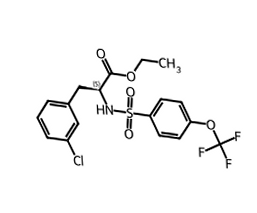 CCOC(=O)[C@H](Cc1cccc(Cl)c1)NS(=O)(=O)c1ccc(OC(F)(F)F)cc1